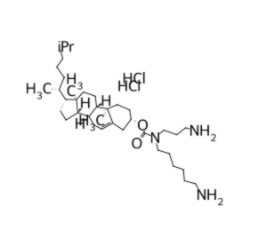 CC(C)CCC[C@@H](C)[C@H]1CC[C@H]2[C@@H]3CC=C4C[C@@H](OC(=O)N(CCCN)CCCCCCN)CC[C@]4(C)[C@H]3CC[C@]12C.Cl.Cl